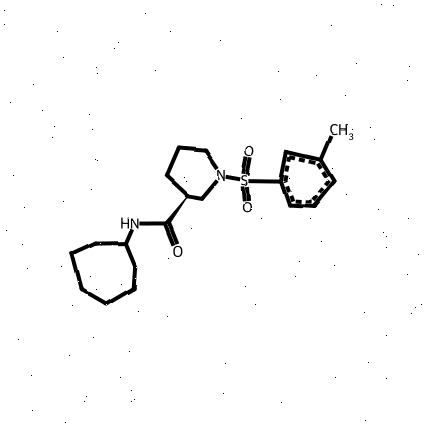 Cc1cccc(S(=O)(=O)N2CCC[C@H](C(=O)NC3CCCCCC3)C2)c1